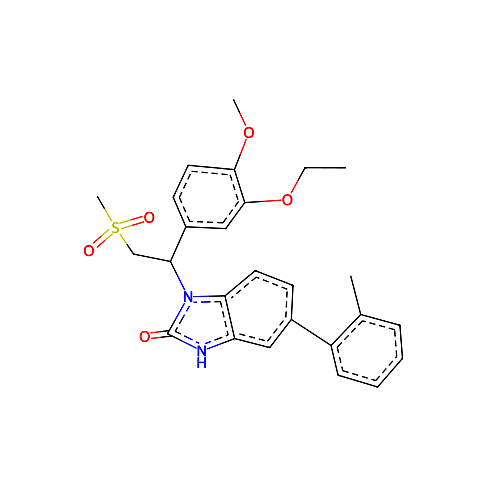 CCOc1cc(C(CS(C)(=O)=O)n2c(=O)[nH]c3cc(-c4ccccc4C)ccc32)ccc1OC